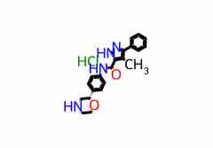 Cc1c(-c2ccccc2)n[nH]c1C(=O)Nc1ccc([C@H]2CNCCO2)cc1.Cl